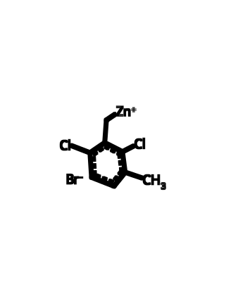 Cc1ccc(Cl)c([CH2][Zn+])c1Cl.[Br-]